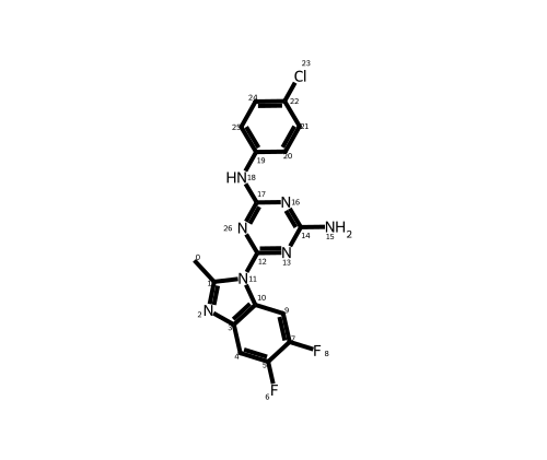 Cc1nc2cc(F)c(F)cc2n1-c1nc(N)nc(Nc2ccc(Cl)cc2)n1